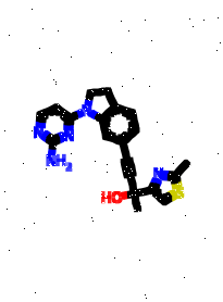 Cc1nc(C(C)(O)C#Cc2ccc3c(c2)N(c2ccnc(N)n2)CC3)cs1